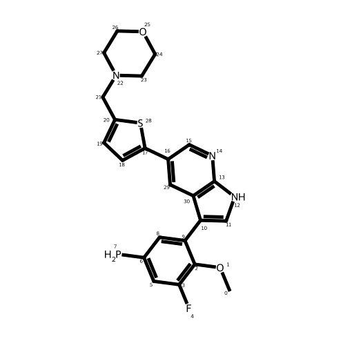 COc1c(F)cc(P)cc1-c1c[nH]c2ncc(-c3ccc(CN4CCOCC4)s3)cc12